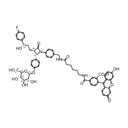 O=C(CCCCCNC(=O)c1ccc(-c2c3ccc(=O)cc-3oc3cc(O)ccc23)c(C(=O)O)c1)NCc1ccc(N2C(=O)[C@H](CC[C@H](O)c3ccc(F)cc3)[C@H]2c2ccc(O[C@@H]3O[C@H](C(=O)O)[C@@H](O)[C@H](O)[C@H]3O)cc2)cc1